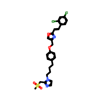 CS(=O)(=O)Cc1nccn1CCCCc1ccc(OCc2coc(C=Cc3ccc(Cl)cc3Cl)n2)cc1